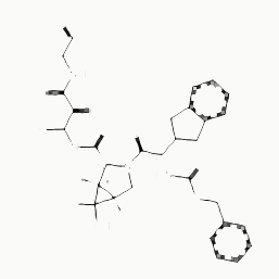 C=CCNC(=O)C(=O)C(CCC)NC(=O)[C@@H]1[C@@H]2[C@H](CN1C(=O)[C@@H](NC(=O)OCc1ccccc1)C1Cc3ccccc3C1)C2(C)C